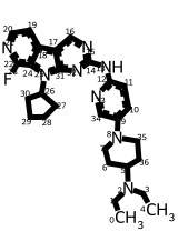 CCN(CC)C1CCN(c2ccc(Nc3ncc4c5ccnc(F)c5n(C5CCCC5)c4n3)nc2)CC1